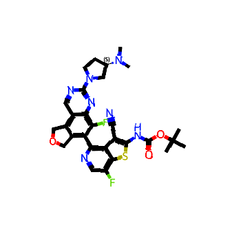 CN(C)[C@H]1CCN(c2ncc3c4c(c(-c5ncc(F)c6sc(NC(=O)OC(C)(C)C)c(C#N)c56)c(F)c3n2)COC4)C1